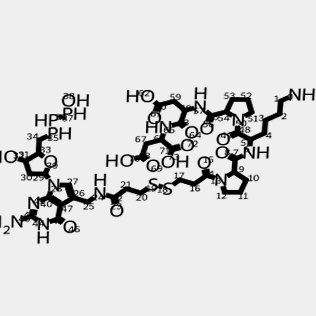 NCCCCC(NC(=O)C1CCCN1C(=O)CCSSCCC(=O)NCc1cn(C2CC(O)C(CPPPO)O2)c2nc(N)[nH]c(=O)c12)C(=O)N1CCCC1C(=O)NC(CC(=O)O)C(=O)NC(CC(=O)O)C(=O)O